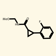 COCNC(=O)C1CC1c1ccccc1F